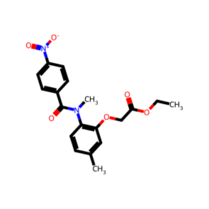 CCOC(=O)COc1cc(C)ccc1N(C)C(=O)c1ccc([N+](=O)[O-])cc1